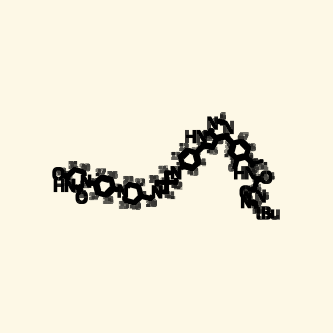 Cc1cc(-c2ncnc3[nH]c(-c4ccc(N5CC6(CN(CC7CCN(c8ccc(N9CCC(=O)NC9=O)cc8)CC7)C6)C5)cc4)cc23)ccc1[C@@H](C)NC(=O)c1nc(C(C)(C)C)no1